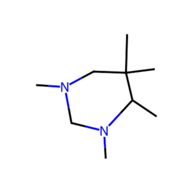 CC1N(C)CN(C)CC1(C)C